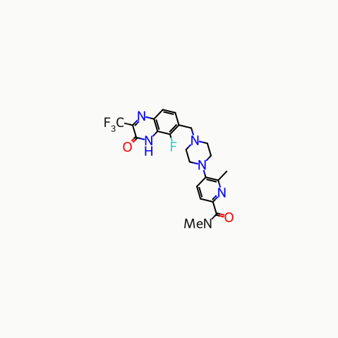 CNC(=O)c1ccc(N2CCN(Cc3ccc4nc(C(F)(F)F)c(=O)[nH]c4c3F)CC2)c(C)n1